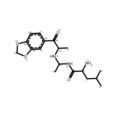 CC(C)CC(N)C(=O)NC(C)NC(C)C(=O)c1ccc2c(c1)OCO2